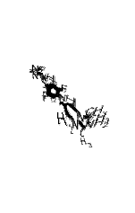 CC(N)CN(CC(CN)CNc1cc(F)c(SNc2ncns2)cc1F)C(C)C